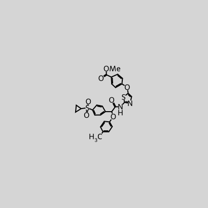 COC(=O)c1ccc(Oc2cnc(NC(=O)C(Oc3ccc(C)cc3)c3ccc(S(=O)(=O)C4CC4)cc3)s2)cc1